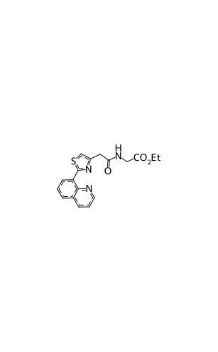 CCOC(=O)CNC(=O)Cc1csc(-c2cccc3cccnc23)n1